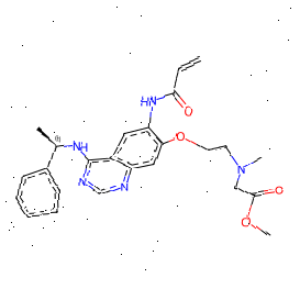 C=CC(=O)Nc1cc2c(N[C@H](C)c3ccccc3)ncnc2cc1OCCN(C)CC(=O)OC